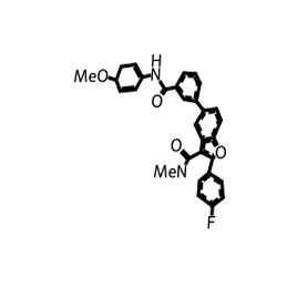 CNC(=O)c1c(-c2ccc(F)cc2)oc2ccc(-c3cccc(C(=O)NC4=CCC(OC)C=C4)c3)cc12